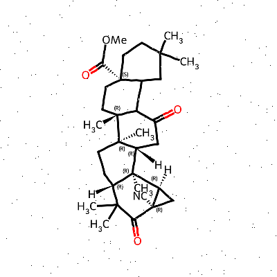 COC(=O)[C@]12CCC(C)(C)CC1C1C(=O)C[C@@H]3[C@@]4(C)[C@H]5C[C@@]5(C#N)C(=O)C(C)(C)[C@@H]4CC[C@@]3(C)[C@]1(C)CC2